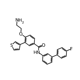 NCCOc1ccc(C(=O)Nc2cccc(-c3ccc(F)cc3)c2)cc1-c1ccsc1